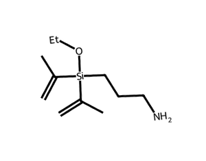 C=C(C)[Si](CCCN)(OCC)C(=C)C